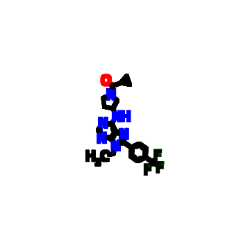 CCn1c(-c2ccc(C(F)(F)F)cc2)nc2c(NC3CCN(C(=O)C4CC4)C3)ncnc21